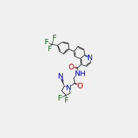 N#C[C@@H]1CC(F)(F)CN1C(=O)CNC(=O)c1ccnc2ccc(-c3ccc(C(F)(F)F)cc3)cc12